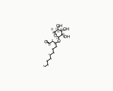 CCCCCCCCC(C[C]=O)OC1O[C@H](C)[C@@H](O)[C@H](O)[C@@H]1O